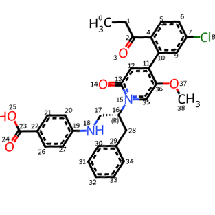 CCC(=O)c1ccc(Cl)cc1-c1cc(=O)n([C@@H](CNc2ccc(C(=O)O)cc2)Cc2ccccc2)cc1OC